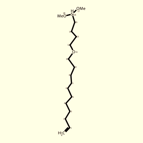 C=CCCCCCCCCCOCCCC[SiH](OC)OC